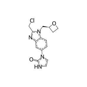 O=c1[nH]ccn1-c1ccc2c(c1)nc(CCl)n2C[C@@H]1CCO1